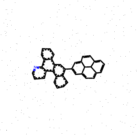 C1=CC2=CC=C3C=C(c4cc5c6ccccc6c6ncccc6c5c5ccccc45)C=C4C=CC(=C1)C2C34